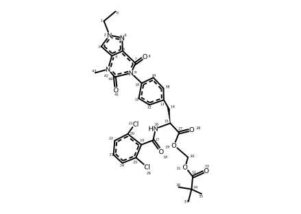 CCn1cc2c(n1)c(=O)n(-c1ccc(C[C@H](NC(=O)c3c(Cl)cccc3Cl)C(=O)OCOC(=O)C(C)(C)C)cc1)c(=O)n2C